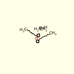 C=C.CCCCCCCCCc1ccccc1Oc1ccccc1CCCCCCCCC.[NaH]